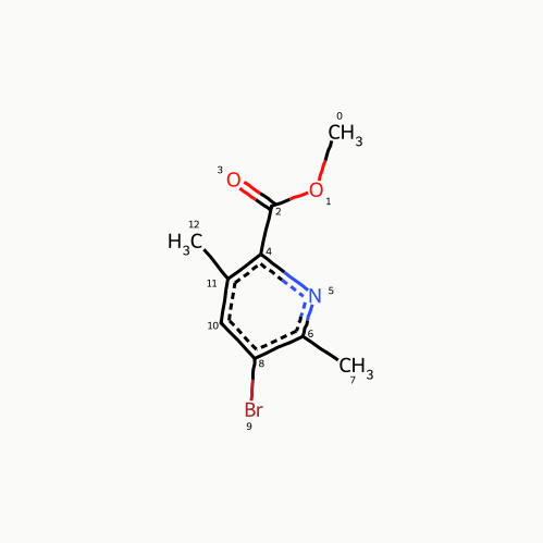 COC(=O)c1nc(C)c(Br)cc1C